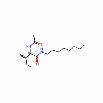 C=C(CC)[C@H](NC(C)=O)C(=O)NCCCCCCCC